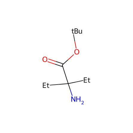 CCC(N)(CC)C(=O)OC(C)(C)C